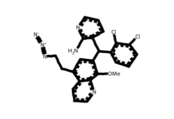 COc1c(C(c2cccnc2N)c2cccc(Cl)c2Cl)cc(CCN=[N+]=[N-])c2cccnc12